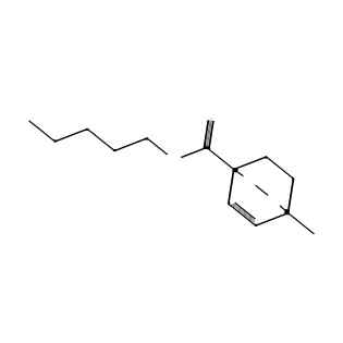 CCCCCOC(=O)C12C=CC(C)(CC1)CC2